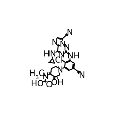 CN(C(=O)O)[C@H]1CCN(c2cc(C#N)cc(Nc3nc(NC4CC4)c4ncc(C#N)n4n3)c2Cl)C[C@H]1O